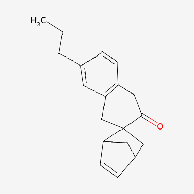 CCCc1ccc2c(c1)CC1(CC3C=CC1C3)C(=O)C2